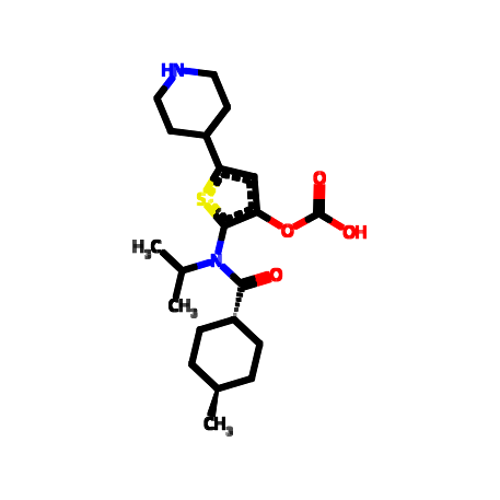 CC(C)N(c1sc(C2CCNCC2)cc1OC(=O)O)C(=O)[C@H]1CC[C@H](C)CC1